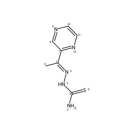 CC(=NNC(N)=S)c1cnccn1